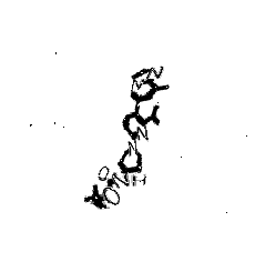 Cc1cc(-c2ccc(N3CCC(NC(=O)OC(C)(C)C)CC3)nc2C(C)C)cn2ccnc12